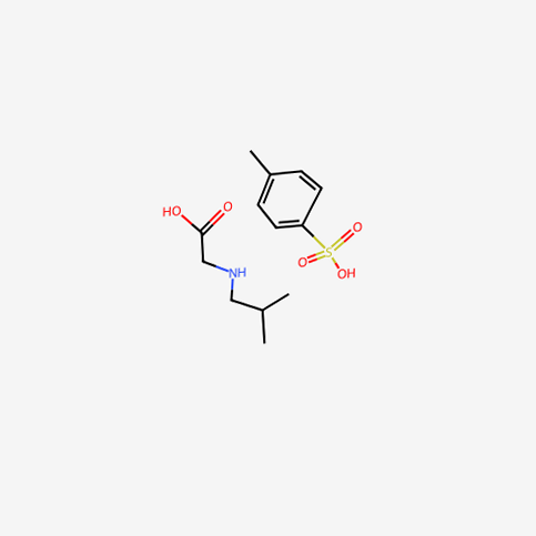 CC(C)CNCC(=O)O.Cc1ccc(S(=O)(=O)O)cc1